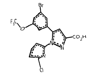 O=C(O)c1cc(-c2cc(Br)cc(OC(F)(F)F)c2)n(-c2cccc(Cl)n2)n1